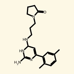 Cc1ccc(C)c(C2=CC(NCCCN3CCCC3=O)NC(N)=N2)c1